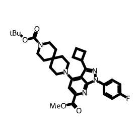 COC(=O)c1cc(N2CCC3(CCN(C(=O)OC(C)(C)C)CC3)CC2)c2c(C3CCC3)nn(-c3ccc(F)cc3)c2n1